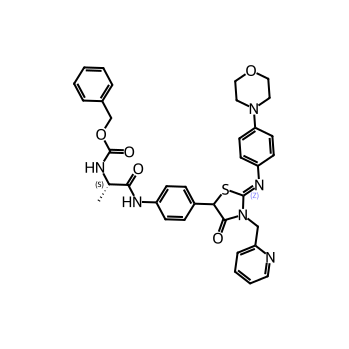 C[C@H](NC(=O)OCc1ccccc1)C(=O)Nc1ccc(C2S/C(=N\c3ccc(N4CCOCC4)cc3)N(Cc3ccccn3)C2=O)cc1